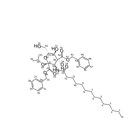 CCCCCCCCCCCCCC(=O)N[C@H]1[C@](OC(C)C)(C(=O)OCc2ccccc2)O[C@H](CO)[C@@H](O)[C@@]1(O)C(=O)OCc1ccccc1